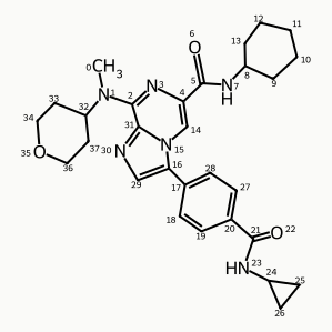 CN(c1nc(C(=O)NC2CCCCC2)cn2c(-c3ccc(C(=O)NC4CC4)cc3)cnc12)C1CCOCC1